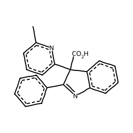 Cc1cccc(C2(C(=O)O)C(c3ccccc3)=Nc3ccccc32)n1